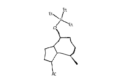 CC[Si](CC)(CC)OC1CC[C@@H](C)C2C(C(C)=O)CCC12